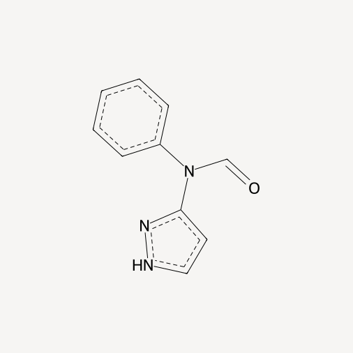 O=CN(c1ccccc1)c1cc[nH]n1